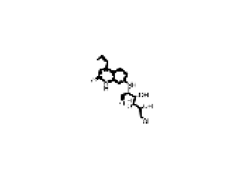 C/C=C\c1cc(=O)[nH]c2cc(N[C@H](C=O)[C@H](O)[C@@H](O)[C@@H](O)CO)ccc12